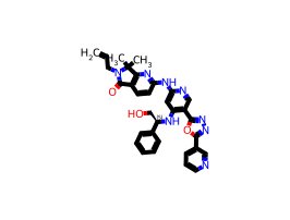 C=CCN1C(=O)c2ccc(Nc3cc(N[C@H](CO)c4ccccc4)c(-c4nnc(-c5cccnc5)o4)cn3)nc2C1(C)C